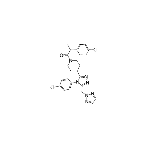 CC(C(=O)N1CCC(c2nnc(Cn3nccn3)n2-c2ccc(Cl)cc2)CC1)c1ccc(Cl)cc1